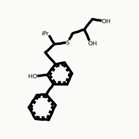 CC(C)C(Cc1cccc(-c2ccccc2)c1O)SCC(O)CO